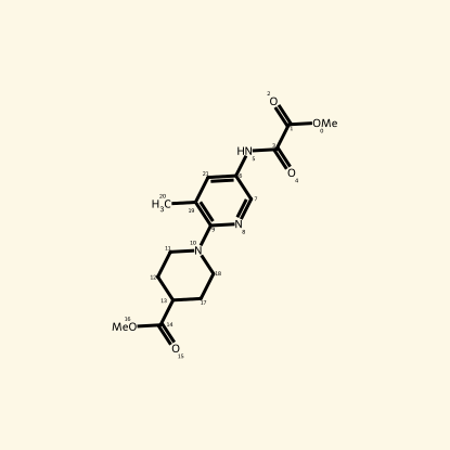 COC(=O)C(=O)Nc1cnc(N2CCC(C(=O)OC)CC2)c(C)c1